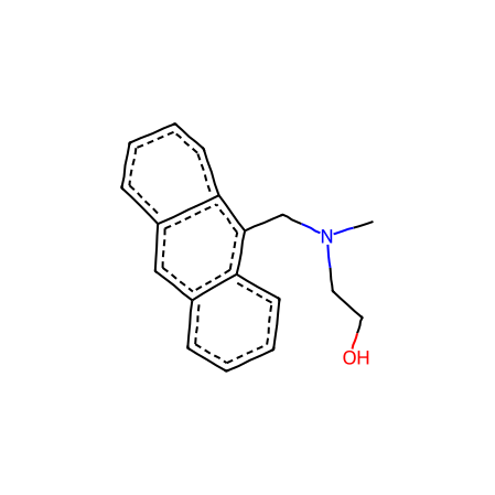 CN(CCO)Cc1c2ccccc2cc2ccccc12